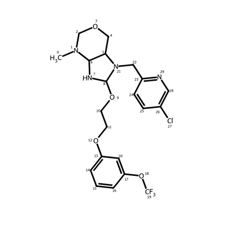 CN1COCC2C1NC(OCCOc1cccc(OC(F)(F)F)c1)N2Cc1ccc(Cl)cn1